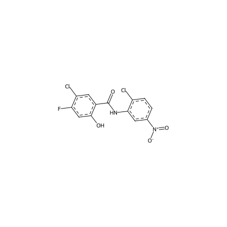 O=C(Nc1cc([N+](=O)[O-])ccc1Cl)c1cc(Cl)c(F)cc1O